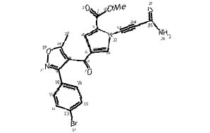 COC(=O)c1cc(C(=O)c2c(-c3ccc(Br)cc3)noc2C)cn1C#CC(N)=O